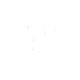 Cc1cccc(C)c1P(C1=C(c2c(C)sc(C)c2P(c2ccccc2)c2ccccc2)C2(C)CCC1C2(C)C)c1c(C)cccc1C